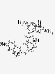 [C-]#[N+]c1ccc(CN(C)Cc2ccc3[nH]c(-c4cc(N)nc5[nH]c(C)nc45)cc3c2)cc1